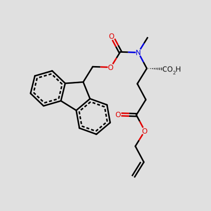 C=CCOC(=O)CC[C@@H](C(=O)O)N(C)C(=O)OCC1c2ccccc2-c2ccccc21